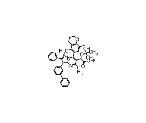 Cc1nc2c(-c3cccc(-c4ccccc4)c3)c(-c3ccccc3)nn2c(-c2cc(F)c3c(c2C)CCCO3)c1C(OC(C)(C)C)C(=O)O